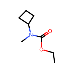 CCOC(=O)N(C)C1CCC1